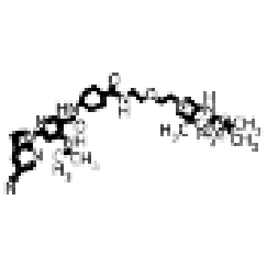 CC(C)Nc1cc(-n2ccc3cc(C#N)cnc32)ncc1C(=O)NC1CCC(C(=O)NCCOCCN2C[C@H](NC(=O)OC(C)(C)C)C(C)(C)C2)CC1